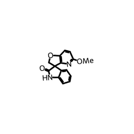 COc1ccc2c(n1)C1(CO2)C(=O)Nc2ccccc21